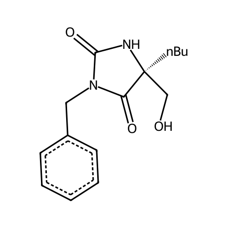 CCCC[C@@]1(CO)NC(=O)N(Cc2ccccc2)C1=O